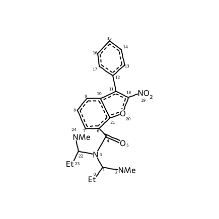 CCC(NC)N(C(=O)c1cccc2c(-c3ccccc3)c([N+](=O)[O-])oc12)C(CC)NC